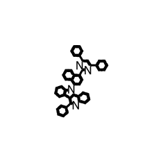 c1ccc(-c2cc(-c3ccccc3)nc(-c3ccc(-n4c5ccccc5c5c(-c6ccccc6)nc6ccccc6c54)c4ccccc34)n2)cc1